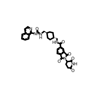 O=C1CCC(N2C(=O)c3ccc(C(=O)NC[C@H]4CC[C@H](CNC(=O)Nc5nccc6ccccc56)CC4)cc3C2=O)C(=O)N1